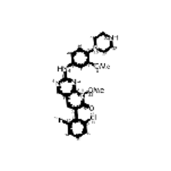 COc1cc(Nc2ncc3cc(-c4c(F)cccc4Cl)c(=O)n(OC)c3n2)ccc1N1CCNCC1